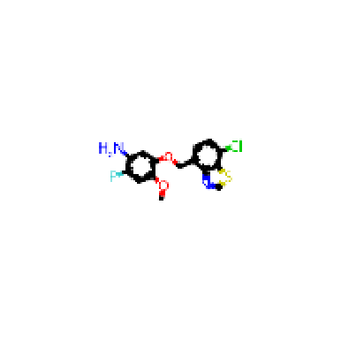 COc1cc(F)c(N)cc1OCc1ccc(Cl)c2scnc12